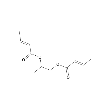 CC=CC(=O)OCC(C)OC(=O)C=CC